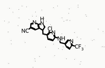 N#Cc1cnc2c(c1)C(Cc1ccc(NCc3ccc(C(F)(F)F)nc3)nc1Cl)CN2